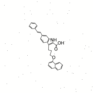 O=C(O)c1[nH]c2cc(/C=C/c3ccccc3)ccc2c1CCCOc1cccc2ccccc12